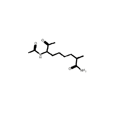 CC(=O)NC(CCCCC(C)C(N)=O)C(C)=O